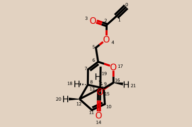 C#CC(=O)OCC1=C[C@H]2[C@@H]3C=C[C@H]2C(=O)O[C@@H]3O1